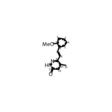 COc1ccccc1C=Cc1n[nH]c(=O)cc1C